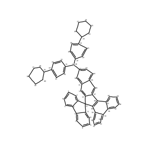 c1ccc2c(c1)-c1ccccc1C21c2cc3cc(N(c4ccc(C5CCCCC5)cc4)c4ccc(C5CCCCC5)cc4)ccc3cc2-c2c1c1ccccc1c1ccccc21